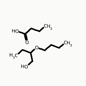 CCCC(=O)O.CCCCOC(CC)CO